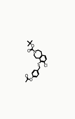 CC(=O)Oc1ccc(CSc2c(Cl)ccc3c2CCN(C(=O)OC(C)(C)C)CC3)cc1